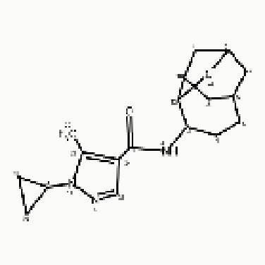 O=C(NC1CCC2CC3CC(C2)C1C3)c1cnn(C2CC2)c1C(F)(F)F